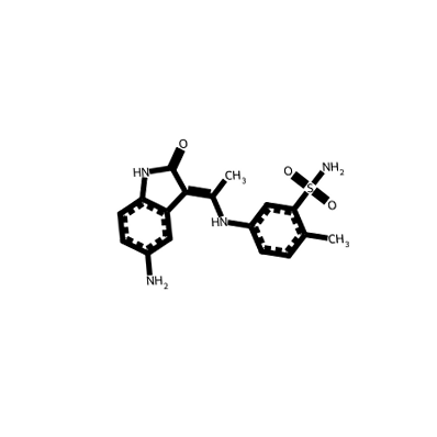 CC(Nc1ccc(C)c(S(N)(=O)=O)c1)=C1C(=O)Nc2ccc(N)cc21